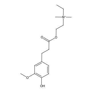 CC[N+](C)(C)CCOC(=O)CCc1ccc(O)c(OC)c1